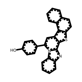 Oc1ccc(-c2cc3c(sc4ccc5ccccc5c43)c3nc4ccccc4n23)cc1